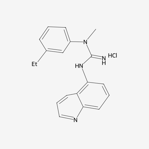 CCc1cccc(N(C)C(=N)Nc2cccc3ncccc23)c1.Cl